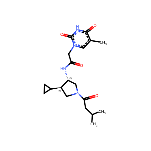 Cc1cn(CC(=O)N[C@@H]2CN(C(=O)CC(C)C)C[C@H]2C2CC2)c(=O)[nH]c1=O